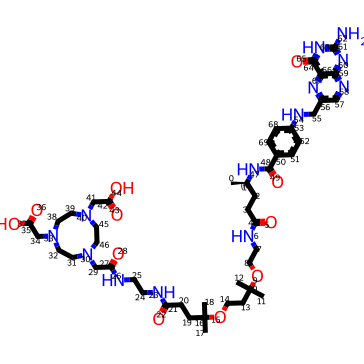 C[C@H](CCC(=O)NCCOC(C)(C)CCOC(C)(C)CCC(=O)NCCNC(=O)CN1CCN(CC(=O)O)CCN(CC(=O)O)CC1)NC(=O)c1ccc(NCc2cnc3nc(N)[nH]c(=O)c3n2)cc1